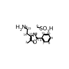 CS(=O)(=O)O.Cc1oc(-c2ccccc2)nc1CCN